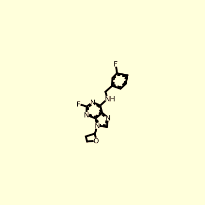 Fc1cccc(CNc2nc(F)nc3c2ncn3C2CCO2)c1